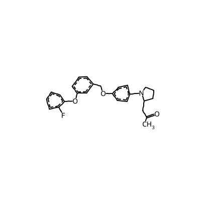 CC(=O)CC1CCCN1c1ccc(OCc2cccc(Oc3ccccc3F)c2)cc1